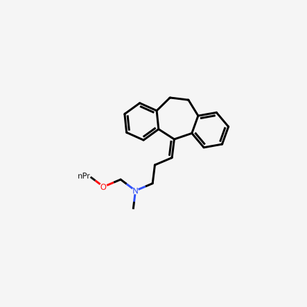 CCCOCN(C)CCC=C1c2ccccc2CCc2ccccc21